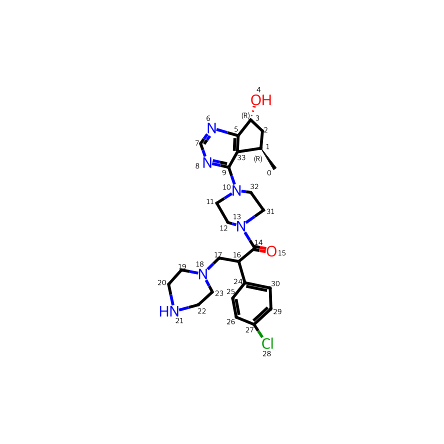 C[C@@H]1C[C@@H](O)c2ncnc(N3CCN(C(=O)C(CN4CCNCC4)c4ccc(Cl)cc4)CC3)c21